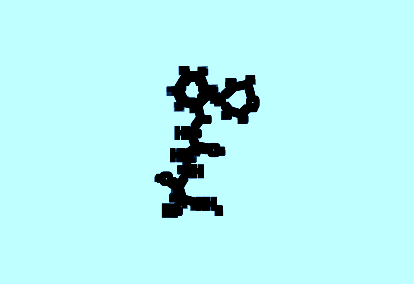 CC[C@@H](N)C(=O)NNC(=O)NCc1ccccc1N1CCOCC1